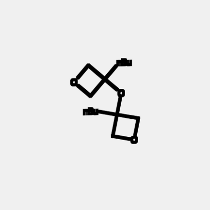 CCCCC1(OC2(CCCC)COC2)COC1